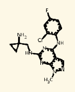 Cn1ncc2c(Nc3ccc(F)cc3Cl)nc(NCC3(N)CC3)nc21